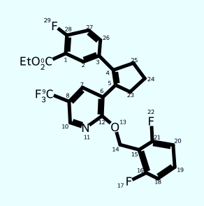 CCOC(=O)c1cc(C2=C(c3cc(C(F)(F)F)cnc3OCc3c(F)cccc3F)CCC2)ccc1F